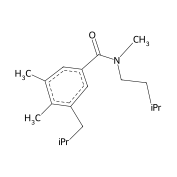 Cc1cc(C(=O)N(C)CCC(C)C)cc(CC(C)C)c1C